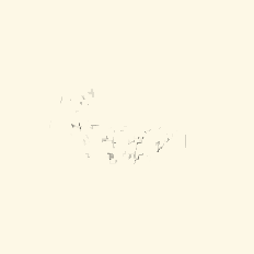 C[C@H](CCC(C)(O)C(F)(F)F)[C@H]1CC[C@H]2[C@@H]3CC=C4C[C@@](C)(S(=O)(=O)O)CC[C@]4(C)[C@H]3CC[C@]12C